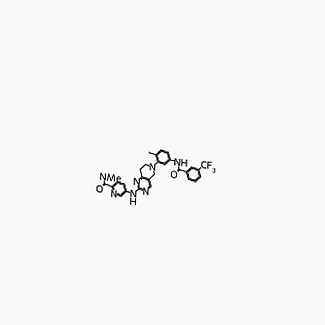 CNC(=O)c1ccc(Nc2ncc3c(n2)CCN(c2cc(NC(=O)c4cccc(C(F)(F)F)c4)ccc2C)C3)cn1